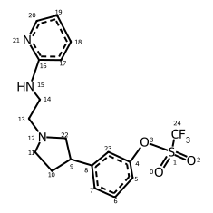 O=S(=O)(Oc1cccc(C2CCN(CCNc3ccccn3)C2)c1)C(F)(F)F